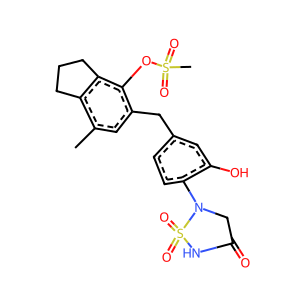 Cc1cc(Cc2ccc(N3CC(=O)NS3(=O)=O)c(O)c2)c(OS(C)(=O)=O)c2c1CCC2